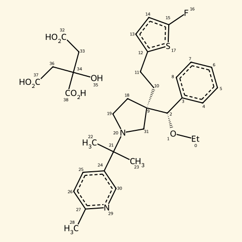 CCO[C@@H](c1ccccc1)[C@]1(CCc2ccc(F)s2)CCN(C(C)(C)c2ccc(C)nc2)C1.O=C(O)CC(O)(CC(=O)O)C(=O)O